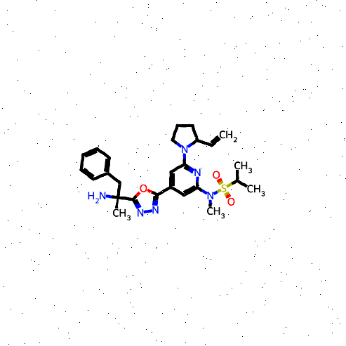 C=CC1CCCN1c1cc(-c2nnc([C@](C)(N)Cc3ccccc3)o2)cc(N(C)S(=O)(=O)C(C)C)n1